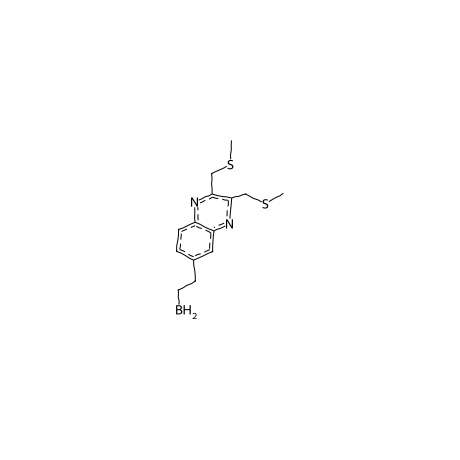 BCCc1ccc2nc(CSC)c(CSC)nc2c1